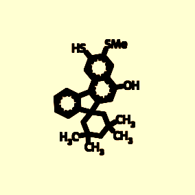 CSc1cc2c(O)cc3c(c2cc1S)-c1ccccc1C31CC(C)(C)CC(C)(C)C1